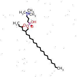 CCCCCCCCCCCCCCCCCCC(COP(=O)(O)CCC[N+](C)(C)C)CC(=O)CC